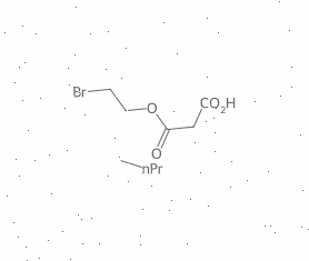 CCCC.O=C(O)CC(=O)OCCBr